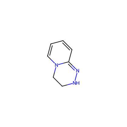 C1=CC2=NNCCN2C=C1